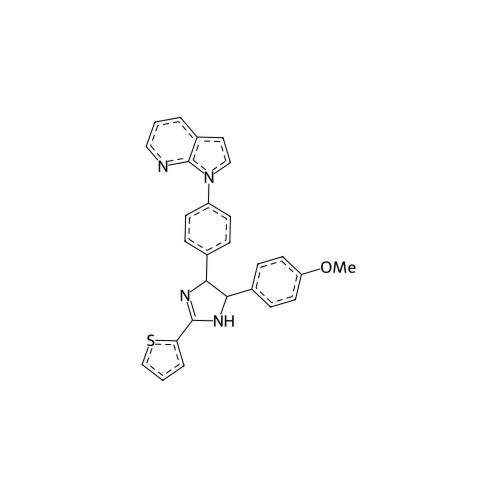 COc1ccc(C2NC(c3cccs3)=NC2c2ccc(-n3ccc4cccnc43)cc2)cc1